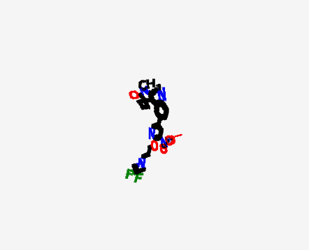 CN1C(=O)C2(CCC2)c2c1cnc1ccc(-c3cnc(OCCCN4CC(F)(F)C4)c([N+](=O)[O-])c3)cc21